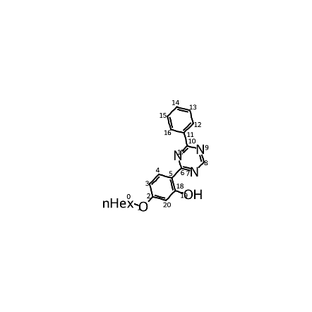 CCCCCCOc1ccc(-c2ncnc(-c3ccccc3)n2)c(O)c1